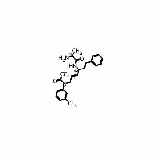 C[C@H](N)C(=O)N[C@H](/C=C/CN(C(=O)C(F)(F)F)c1cccc(C(F)(F)F)c1)CCc1ccccc1